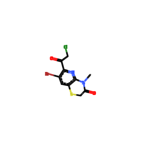 CN1C(=O)CSc2cc(Br)c(C(=O)CCl)nc21